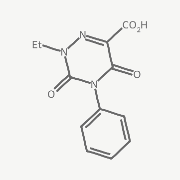 CCn1nc(C(=O)O)c(=O)n(-c2ccccc2)c1=O